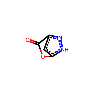 O=C1Oc2cc1n[nH]2